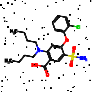 CCCCN(CCCC)c1cc(Oc2ccccc2Cl)c(S(N)(=O)=O)cc1C(=O)O